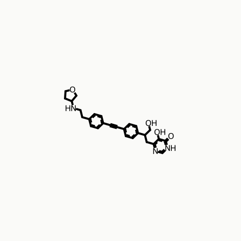 O=c1[nH]cnc(CC(CO)c2ccc(C#Cc3ccc(CCNC4CCOC4)cc3)cc2)c1O